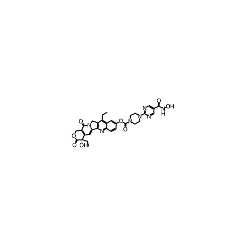 CCc1c2c(nc3ccc(OC(=O)N4CCN(c5ncc(C(=O)NO)cn5)CC4)cc13)-c1cc3c(c(=O)n1C2)COC(=O)[C@]3(O)CC